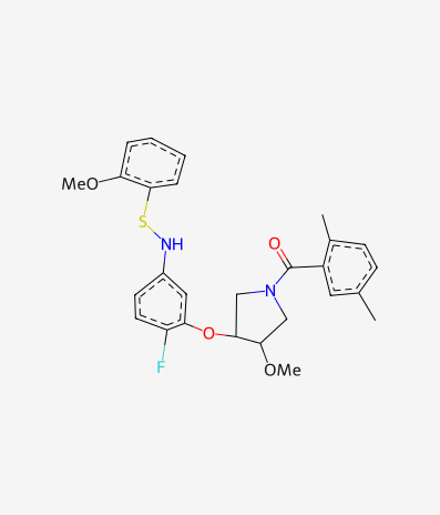 COc1ccccc1SNc1ccc(F)c(OC2CN(C(=O)c3cc(C)ccc3C)CC2OC)c1